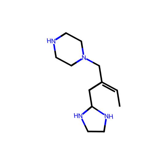 C/C=C(\CC1NCCN1)CN1CCNCC1